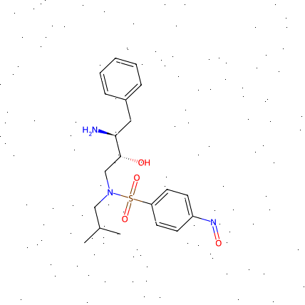 CC(C)CN(C[C@@H](O)[C@@H](N)Cc1ccccc1)S(=O)(=O)c1ccc(N=O)cc1